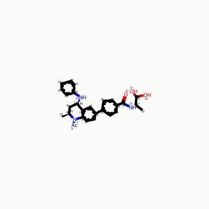 CC(=O)N1c2ccc(-c3ccc(C(=O)NC(C)C(O)O)cc3)cc2[C@H](Nc2ccccc2)C[C@@H]1C